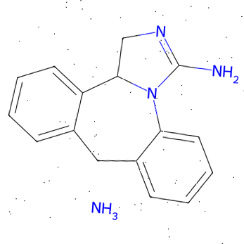 N.NC1=NCC2c3ccccc3Cc3ccccc3N12